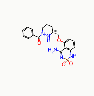 NC1=NS(=O)(=O)Nc2cccc(OC[C@H]3CCCN(C(=O)c4ccccc4)N3)c21